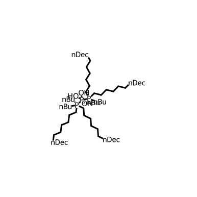 CCCCCCCCCCCCCCCCP(CCCC)(CCCC)(CCCCCCCCCCCCCCCC)P(O)(O)(O)P(CCCC)(CCCC)(CCCCCCCCCCCCCCCC)CCCCCCCCCCCCCCCC